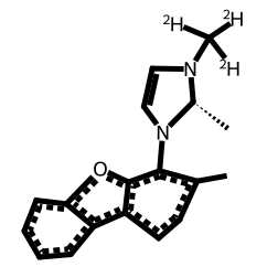 [2H]C([2H])([2H])N1C=CN(c2c(C)ccc3c2oc2ccccc23)[C@H]1C